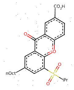 CCCCCCCCc1cc(S(=O)(=O)C(C)C)c2oc3ccc(C(=O)O)cc3c(=O)c2c1